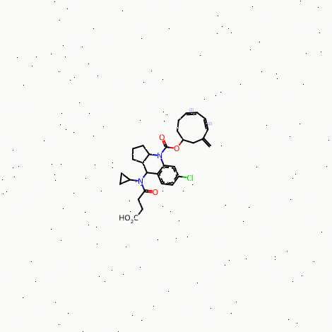 C=C1/C=C\C=C/CCC(OC(=O)N2c3cc(Cl)ccc3C(N(C(=O)CCC(=O)O)C3CC3)C3CCCC32)C1